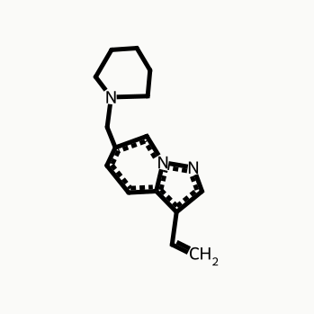 C=Cc1cnn2cc(CN3CCCCC3)ccc12